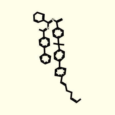 C=C(/N=C(\N=C(/C)c1ccc(-c2ccccc2)cc1)C1=CCCC=C1)c1ccc(C(C)(C)c2ccc(-c3ccc(/C=C/CC/C=C\C)cc3)cc2)cc1